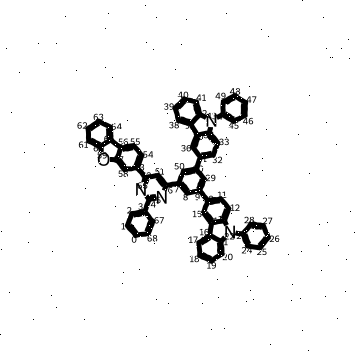 c1ccc(-c2nc(-c3cc(-c4ccc5c(c4)c4ccccc4n5-c4ccccc4)cc(-c4ccc5c(c4)c4ccccc4n5-c4ccccc4)c3)cc(-c3ccc4c(c3)oc3ccccc34)n2)cc1